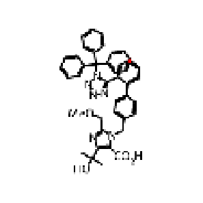 COCc1nc(C(C)(C)O)c(C(=O)O)n1Cc1ccc(-c2ccccc2-c2nnnn2C(c2ccccc2)(c2ccccc2)c2ccccc2)cc1